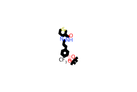 CC1(C)OB(c2cc(/C=C/c3nc4c(c(=O)[nH]3)CSCC4)ccc2C(F)(F)F)OC1(C)C